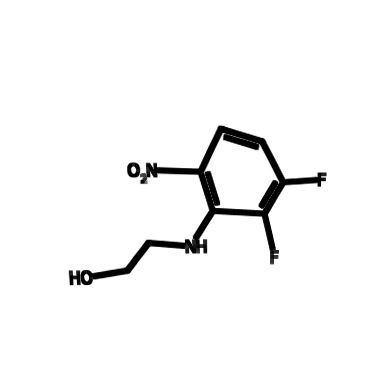 O=[N+]([O-])c1ccc(F)c(F)c1NCCO